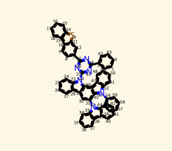 c1ccc(-c2nc(-c3ccc4c(c3)sc3ccccc34)nc(-n3c4ccccc4c4cc(-n5c6ccccc6c6ccccc65)c5c(c6ccccc6n5-c5ccccc5)c43)n2)cc1